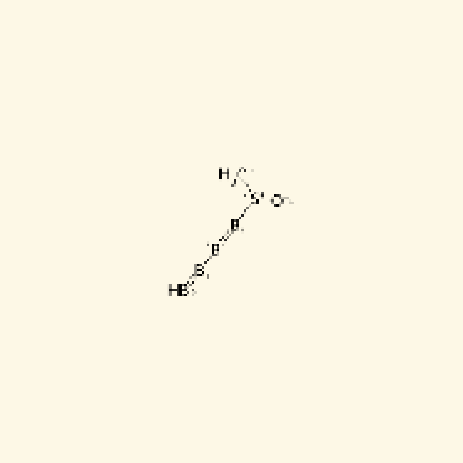 B=BB=B[S+](C)[O-]